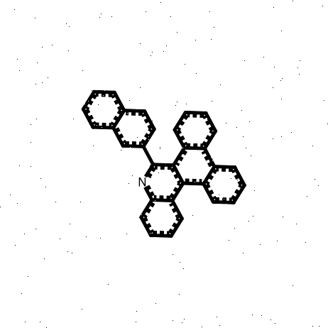 c1ccc2cc(-c3nc4ccccc4c4c5ccccc5c5ccccc5c34)ccc2c1